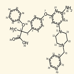 CC(Cc1ccc(Oc2cc(N3CCN(Cc4cccnc4)CC3)nc(N)n2)cc1)(Oc1ccccc1)C(=O)O